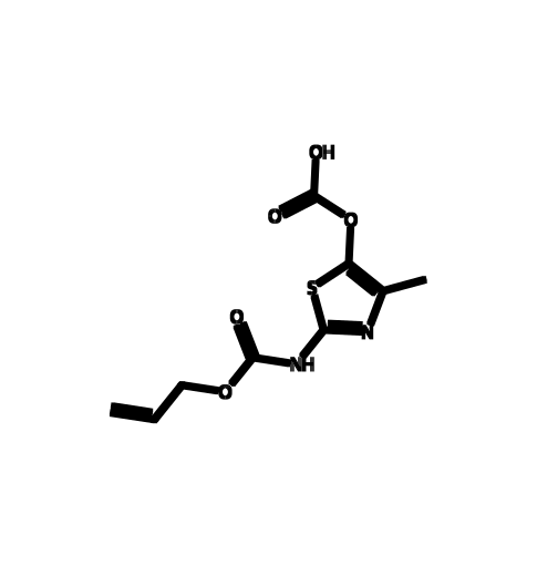 C=CCOC(=O)Nc1nc(C)c(OC(=O)O)s1